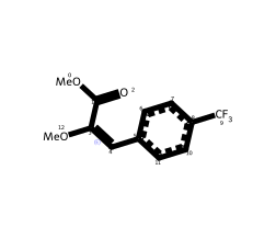 COC(=O)/C(=C\c1ccc(C(F)(F)F)cc1)OC